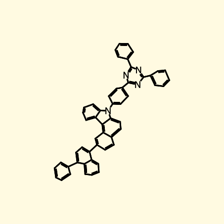 c1ccc(-c2nc(-c3ccccc3)nc(-c3ccc(-n4c5ccccc5c5c6cc(-c7ccc(-c8ccccc8)c8ccccc78)ccc6ccc54)cc3)n2)cc1